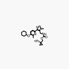 CCCC1(COC(=O)NCc2c(-c3ccc(OC4CCCCC4)c(C)n3)nnn2C)CC1